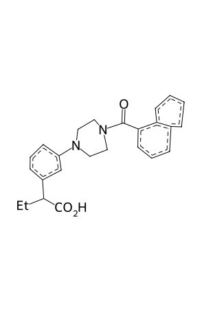 CCC(C(=O)O)c1cccc(N2CCN(C(=O)c3cccc4ccccc34)CC2)c1